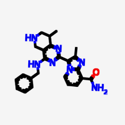 Cc1nc2c(C(N)=O)cccn2c1-c1nc(NCc2ccccc2)c2c(n1)C(C)CNC2